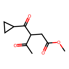 COC(=O)CC(C(C)=O)C(=O)C1CC1